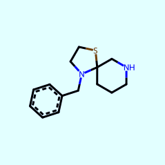 c1ccc(CN2CCSC23CCCNC3)cc1